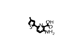 Cc1csc(-c2ccc(N)c(C(=O)O)n2)c1